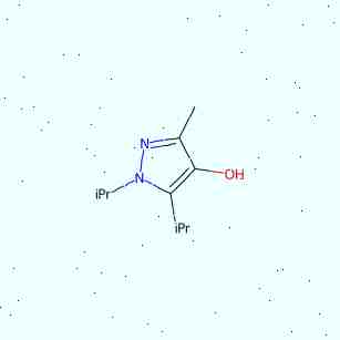 Cc1nn(C(C)C)c(C(C)C)c1O